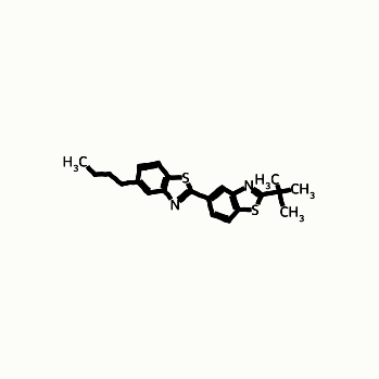 CCCCc1ccc2sc(-c3ccc4sc(C(C)(C)C)nc4c3)nc2c1